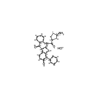 Cl.N[C@@H]1CCN(C(=O)Nc2sc3c(ccc(=O)n3-c3ccccc3)c2C(=O)c2ccccc2)C1